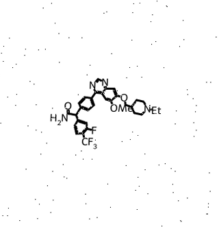 CCN1CCC(COc2cc3ncnc(-c4ccc(C(C(N)=O)c5ccc(C(F)(F)F)c(F)c5)cc4)c3cc2OC)CC1